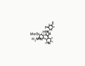 COc1cc(-c2[nH]c(-c3ccc(F)cc3F)nc2-c2ccncc2)cnc1N